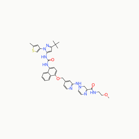 COCCNC(=O)C1=NC=CN(Nc2cc(COc3ccc(NC(=O)Nc4cc(C(C)(C)C)nn4-c4csc(C)c4)c4ccccc34)ccn2)C1